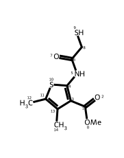 COC(=O)c1c(NC(=O)CS)sc(C)c1C